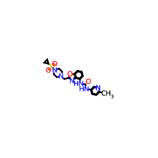 Cc1ccc(NC(=O)Nc2cccc3oc(CN4CCN(S(=O)(=O)C5CC5)CC4)nc23)cn1